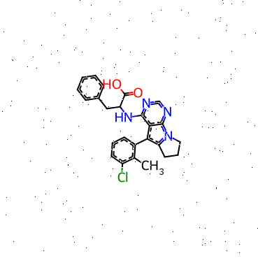 Cc1c(Cl)cccc1-c1c2n(c3ncnc(NC(Cc4ccccc4)C(=O)O)c13)CCC2